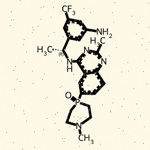 Cc1nc(N[C@H](C)c2cc(N)cc(C(F)(F)F)c2)c2cc(P3(=O)CCN(C)CC3)ccc2n1